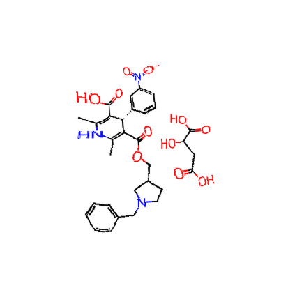 CC1=C(C(=O)O)[C@H](c2cccc([N+](=O)[O-])c2)C(C(=O)OC[C@H]2CCN(Cc3ccccc3)C2)=C(C)N1.O=C(O)CC(O)C(=O)O